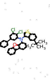 CC(C)(C)c1ccc2scc(N(c3cc(-c4ccccc4)cc(Cl)c3Cl)c3cccc4c3oc3ccccc34)c2c1